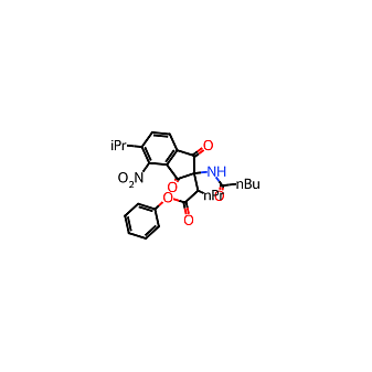 CCCCC(=O)NC1(C(CCC)C(=O)Oc2ccccc2)C(=O)c2ccc(C(C)C)c([N+](=O)[O-])c2C1=O